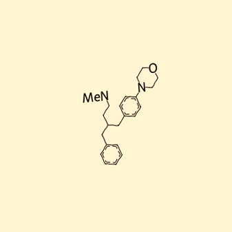 CNCCC(Cc1ccccc1)Cc1ccc(N2CCOCC2)cc1